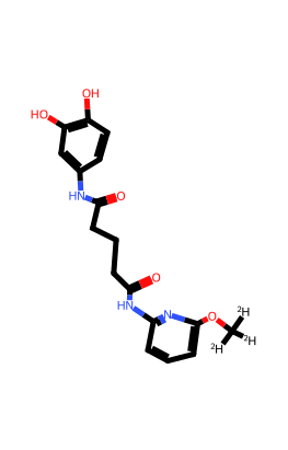 [2H]C([2H])([2H])Oc1cccc(NC(=O)CCCC(=O)Nc2ccc(O)c(O)c2)n1